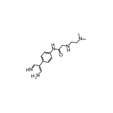 CN(C)CCNCC(=O)Nc1ccc(/C(C=N)=C/N)cc1